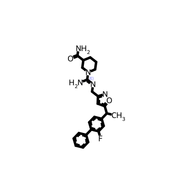 CC(c1ccc(-c2ccccc2)c(F)c1)c1cc(C/N=C(\N)N2CCCC(C(N)=O)C2)no1